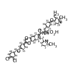 Cc1cccc(CN2Cc3cc4c(cc3C[C@H]2C(=O)NC(Cc2ccc(Oc3ccnc(C)c3C)cc2)C(=O)O)OC[C@H](c2ccc(OCc3ccc(Cl)c(Cl)c3)cc2)O4)n1